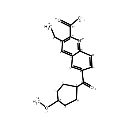 CCc1cc2cc(C(=O)C3CCC(OC)CC3)ccc2nc1C(C)=O